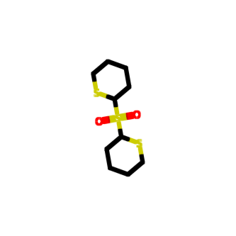 O=S(=O)(C1CCCCS1)C1CCCCS1